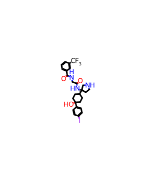 O=C(CNC(=O)c1cccc(C(F)(F)F)c1)N[C@@]1(C2CCC(O)(c3ccc(I)cc3)CC2)CCNC1